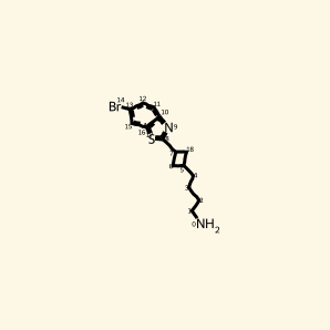 NCCCCC1CC(c2nc3ccc(Br)cc3s2)C1